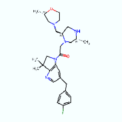 C[C@@H]1CN(CC(=O)N2CC(C)(C)c3ncc(Cc4ccc(F)cc4)cc32)[C@@H](CN2CCO[C@@H](C)C2)CN1